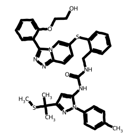 CSC(C)(C)c1cc(NC(=O)NCc2ccccc2Sc2ccc3nnc(-c4ccccc4OCCO)n3c2)n(-c2ccc(C)cc2)n1